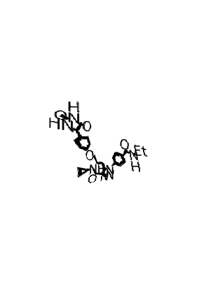 CCNC(=O)c1ccc(-n2nnc(C(=O)NC3CC3)c2CCCOc2ccc(C3NC(=O)NC3=O)cc2)cc1